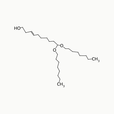 CCCCCCCCOC(CCCCC/C=C/CCO)OCCCCCCCC